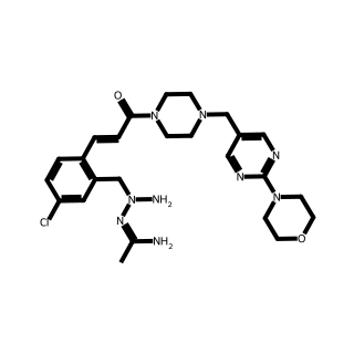 C/C(N)=N/N(N)Cc1cc(Cl)ccc1/C=C/C(=O)N1CCN(Cc2cnc(N3CCOCC3)nc2)CC1